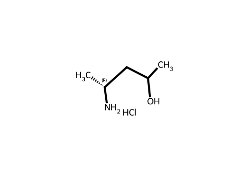 CC(O)C[C@@H](C)N.Cl